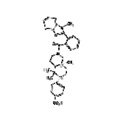 Cn1c(-c2ccccc2C(=O)N2CCC3C(C)(C)[C@@H](c4ccc(C(=O)O)cc4)CC[C@]3(C)C2)nc2ccccc21